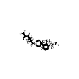 CC1CN(C(F)C(F)(F)C(F)(F)C(F)C(F)C(F)F)CCC1(C)c1cccc(S(C)(=O)=O)c1N